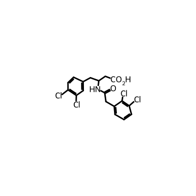 O=C(O)CC(Cc1ccc(Cl)c(Cl)c1)NC(=O)Cc1cccc(Cl)c1Cl